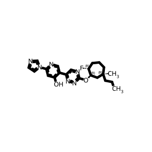 CCC[C@]1(C)CCC[C@@H](F)[C@H](Oc2ncc(-c3cnc(-n4ccnc4)cc3O)nn2)C1